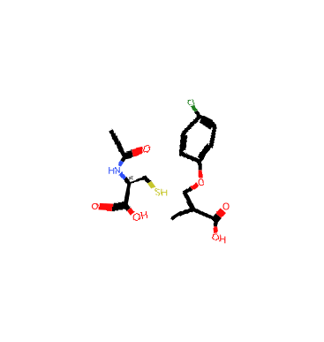 CC(=O)N[C@@H](CS)C(=O)O.CC(COc1ccc(Cl)cc1)C(=O)O